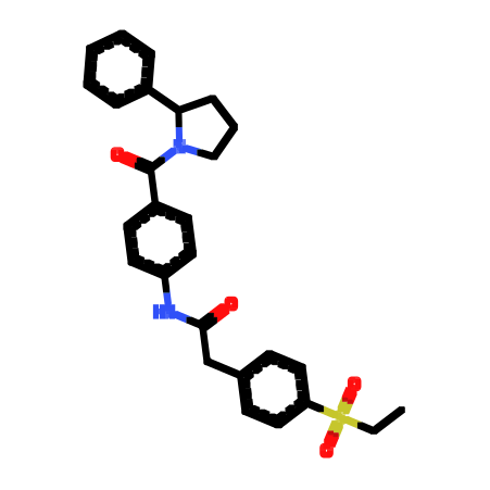 CCS(=O)(=O)c1ccc(CC(=O)Nc2ccc(C(=O)N3CCCC3c3ccccc3)cc2)cc1